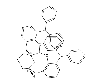 c1ccc(P(c2ccccc2)c2cccc3c2OC2Oc4c(cccc4P(c4ccccc4)c4ccccc4)C[C@@]24CCC[C@@H](C3)C4)cc1